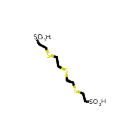 O=S(=O)(O)CCSCCSCCSCCS(=O)(=O)O